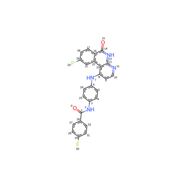 O=C(Nc1ccc(Nc2ccnc3[nH]c(=O)c4ccc(F)cc4c23)cc1)c1ccc(F)cc1